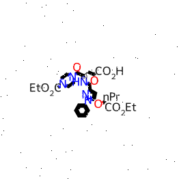 CCCC(Oc1cc(C(=O)N[C@@H](CCC(=O)O)C(=O)N2CCN(C(=O)OCC)CC2)nn1-c1ccccc1)C(=O)OCC